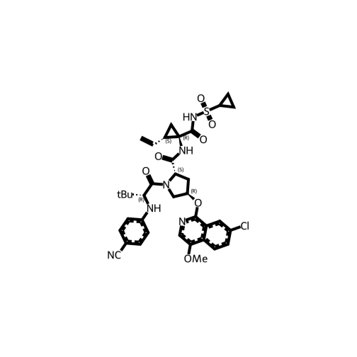 C=C[C@@H]1C[C@]1(NC(=O)[C@@H]1C[C@@H](Oc2ncc(OC)c3ccc(Cl)cc23)CN1C(=O)[C@H](Nc1ccc(C#N)cc1)C(C)(C)C)C(=O)NS(=O)(=O)C1CC1